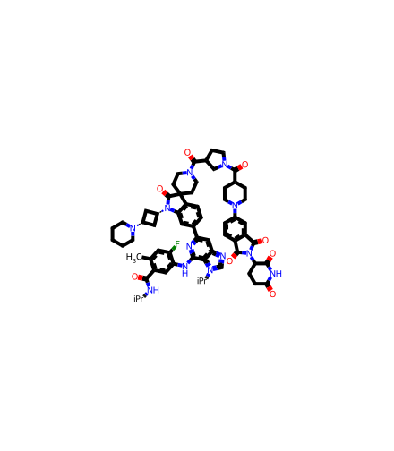 Cc1cc(F)c(Nc2nc(-c3ccc4c(c3)N([C@H]3C[C@@H](N5CCCCC5)C3)C(=O)C43CCN(C(=O)C4CCN(C(=O)C5CCN(c6ccc7c(c6)C(=O)N(C6CCC(=O)NC6=O)C7=O)CC5)C4)CC3)cc3ncn(C(C)C)c23)cc1C(=O)NC(C)C